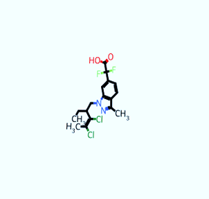 CCC(Cn1nc(C)c2ccc(C(F)(F)C(=O)O)cc21)/C(Cl)=C(\C)Cl